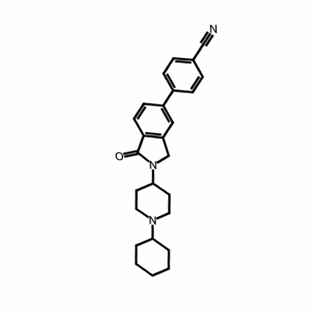 N#Cc1ccc(-c2ccc3c(c2)CN(C2CCN(C4CCCCC4)CC2)C3=O)cc1